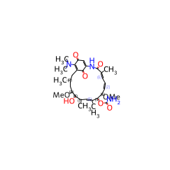 CO[C@H]1/C=C\C=C(/C)C(=O)NC2=CC(=O)C(N(C)C)=C(C[C@@H](C)C[C@H](OC)[C@H](O)[C@@H](C)/C=C(\C)[C@@H]1OC(N)=O)C2=O